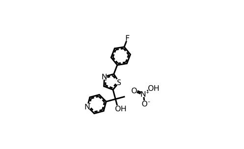 CC(O)(c1ccncc1)c1cnc(-c2ccc(F)cc2)s1.O=[N+]([O-])O